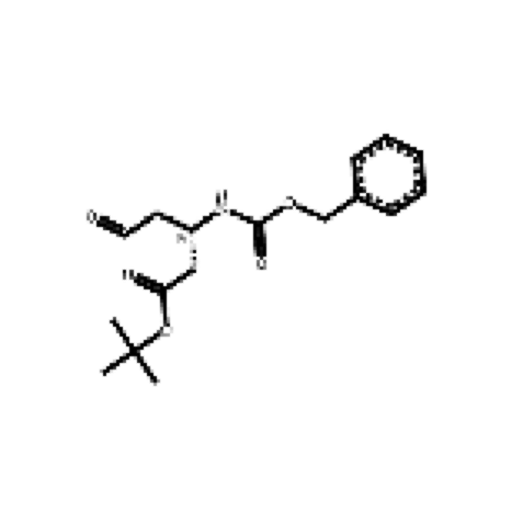 CC(C)(C)OC(=O)C[C@H](CC=O)NC(=O)OCc1ccccc1